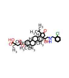 CC(C)C1=C2[C@H]3CC[C@@H]4[C@@]5(C)CC[C@H](OC(=O)CC(C)(C)C(=O)O)C(C)(C)[C@@H]5CC[C@@]4(C)[C@]3(C)CC[C@@]2([C@H](O)CNCc2ccccc2Cl)CC1=O